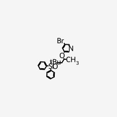 CC(CCO[Si](c1ccccc1)(c1ccccc1)C(C)(C)C)Oc1cncc(Br)c1